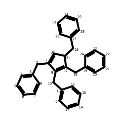 [C]1=C(Cc2ccccc2)C(Cc2ccccc2)=C(Cc2ccccc2)C1Cc1ccccc1